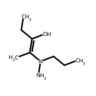 CCCN(N)C(C)=C(O)CC